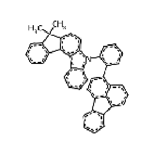 CC1(C)c2ccccc2-c2c1ccc1c2c2ccccc2n1-c1ccccc1-c1ccc2c3c(cccc13)-c1ccccc1-2